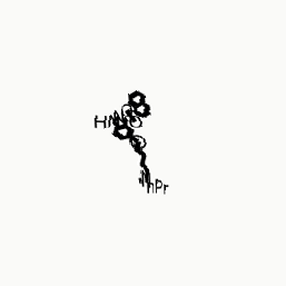 CCCN(C)CCCCOc1ccc2[nH]nc(S(=O)(=O)c3cccc4ccccc34)c2c1